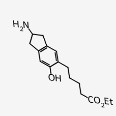 CCOC(=O)CCCCc1cc2c(cc1O)CC(N)C2